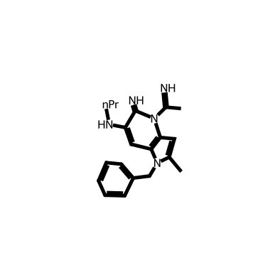 CCCNc1cc2c(cc(C)n2Cc2ccccc2)n(C(C)=N)c1=N